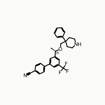 C[C@@H](OCC1(c2ccccc2)CCNCC1)c1cc(-c2ccc(C#N)cc2)cc(C(F)(F)F)c1